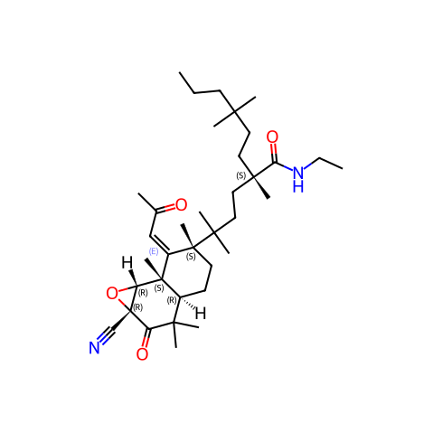 CCCC(C)(C)CC[C@@](C)(CCC(C)(C)[C@]1(C)CC[C@H]2C(C)(C)C(=O)[C@]3(C#N)O[C@@H]3[C@]2(C)/C1=C/C(C)=O)C(=O)NCC